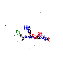 CC1CN(c2ccc(C(=O)NS(=O)(=O)c3ccc(NCC4CCN(C5COC5)CC4)c([N+](=O)[O-])c3)c(Oc3cnc4[nH]ccc4c3)c2)CCN1CC1=C(c2ccc(Cl)cc2)CC(C)(C)CC1